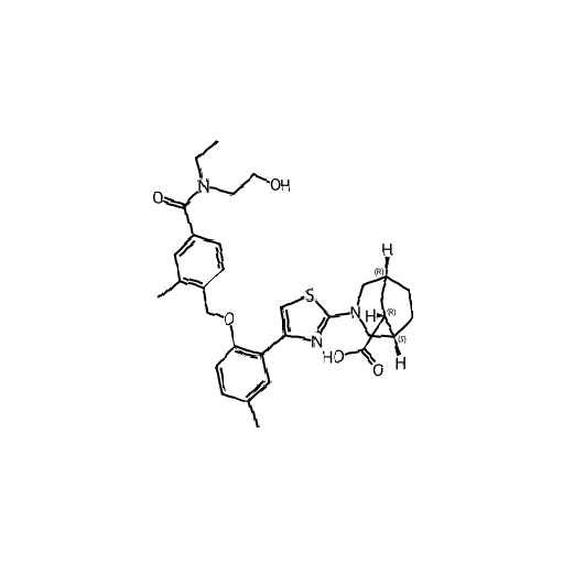 CCN(CCO)C(=O)c1ccc(COc2ccc(C)cc2-c2csc(N3C[C@@H]4CC[C@H](C3)[C@H](C(=O)O)C4)n2)c(C)c1